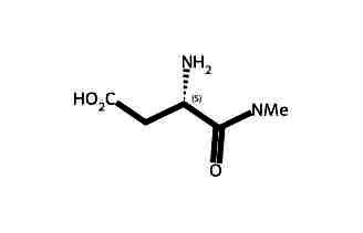 [CH2]NC(=O)[C@@H](N)CC(=O)O